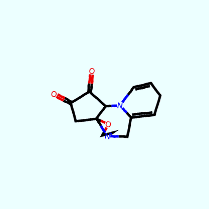 O=C1CC23OCCN2CC2=CCC=CN2C3C1=O